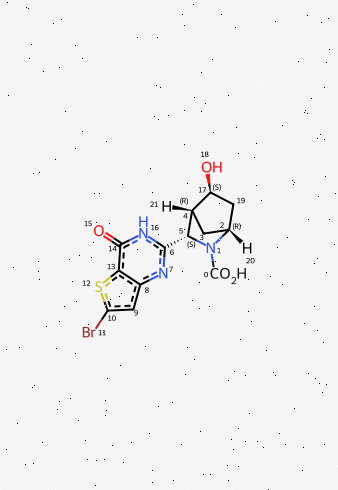 O=C(O)N1[C@@H]2C[C@H]([C@H]1c1nc3cc(Br)sc3c(=O)[nH]1)[C@@H](O)C2